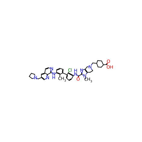 Cc1c(Nc2nccc3cc(CN4CCCC4)cnc23)cccc1-c1cccc(NC(=O)c2nc3c(n2C)CCN(CC2CCC(C(=O)O)CC2)C3)c1Cl